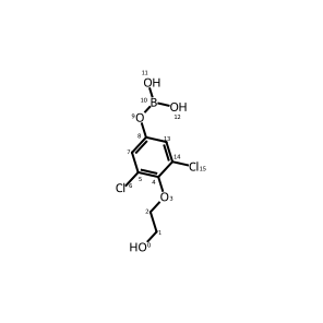 OCCOc1c(Cl)cc(OB(O)O)cc1Cl